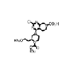 COCCC1CN(c2nc(Cl)nc3c2CCN(C(=O)O)C3)CCN1C(=O)OC(C)(C)C